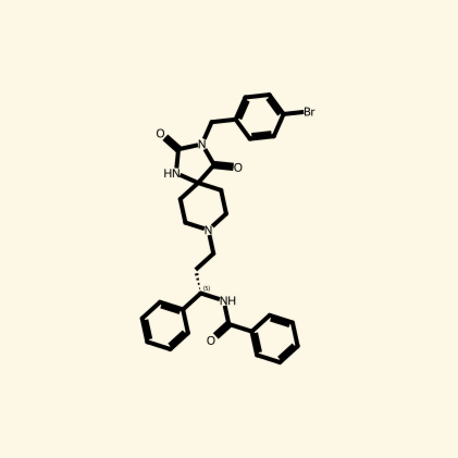 O=C(N[C@@H](CCN1CCC2(CC1)NC(=O)N(Cc1ccc(Br)cc1)C2=O)c1ccccc1)c1ccccc1